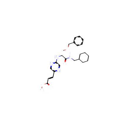 COC(=O)/C=C/c1cnc(N[C@H](COCc2ccccc2)C(=O)NCC2CCCCC2)cn1